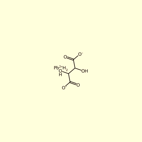 O=C([O-])C(O)C(O)C(=O)[O-].[PbH2+2]